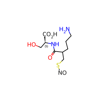 NCCCC(CSN=O)C(=O)N[C@@H](CO)C(=O)O